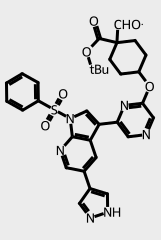 CC(C)(C)OC(=O)C1([C]=O)CCC(Oc2cncc(-c3cn(S(=O)(=O)c4ccccc4)c4ncc(-c5cn[nH]c5)cc34)n2)CC1